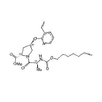 C=CCCCCCOC(=O)N[C@H](C(=O)N1C[C@H](Oc2ncccc2C=C)C[C@H]1C(=O)OC)C(C)(C)C